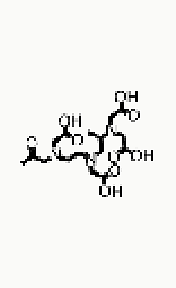 CC(=O)CN(CCN(CC(=O)O)CC(C)N(CC(=O)O)CC(=O)O)CC(=O)O